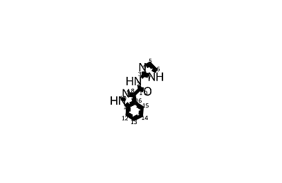 O=C(Nc1ncc[nH]1)c1n[nH]c2ccccc12